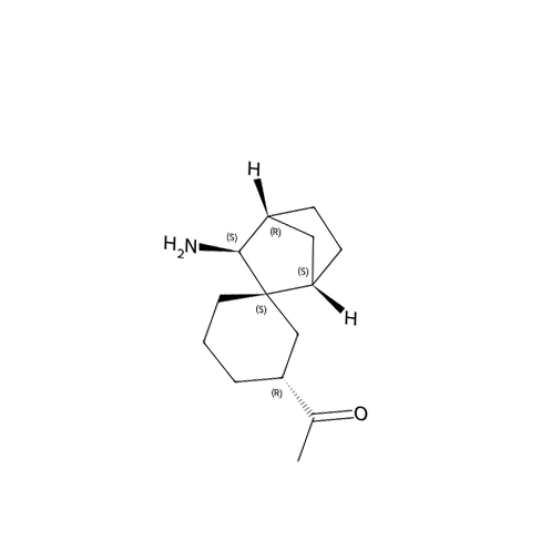 CC(=O)[C@@H]1CCC[C@]2(C1)[C@H]1CC[C@H](C1)[C@@H]2N